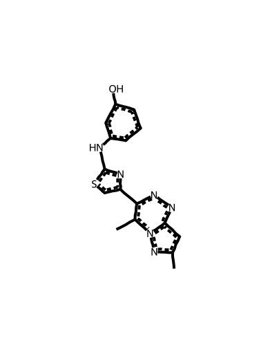 Cc1cc2nnc(-c3csc(Nc4cccc(O)c4)n3)c(C)n2n1